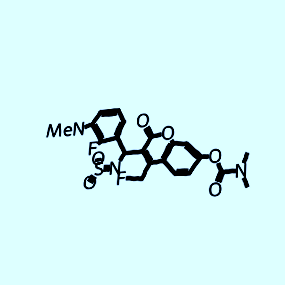 CNc1cccc(C(N=S(=O)=O)c2c(CF)c3ccc(OC(=O)N(C)C)cc3oc2=O)c1F